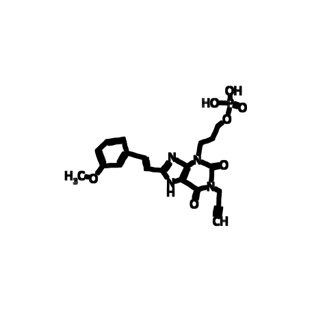 C#CCn1c(=O)c2[nH]c(C=Cc3cccc(OC)c3)nc2n(CCCOP(=O)(O)O)c1=O